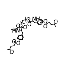 CC(=O)CCC(=O)Oc1ccc(CC(N)C(=O)OC(C)(C)CC(C)(C)OC(=O)C(Cc2ccc(OC(=O)CCC(C)=O)cc2)NC(=O)C(C)(C)C)cc1